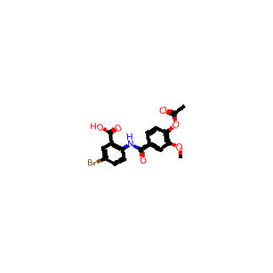 COc1cc(C(=O)Nc2ccc(Br)cc2C(=O)O)ccc1OC(C)=O